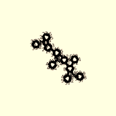 c1ccc(-c2cc3c(cc2-c2ccc4c5ccc(-c6ccc7c(c6)c6ccccc6n7-c6ccccc6)cc5n(-c5ccccc5)c4c2)c2ccccc2n3-c2ccccc2)cc1